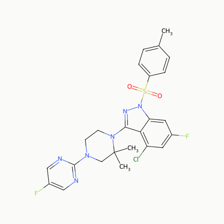 Cc1ccc(S(=O)(=O)n2nc(N3CCN(c4ncc(F)cn4)CC3(C)C)c3c(Cl)cc(F)cc32)cc1